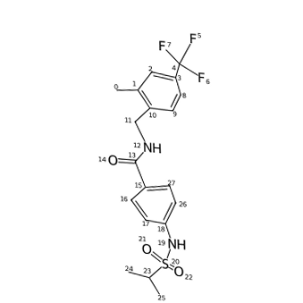 Cc1cc(C(F)(F)F)ccc1CNC(=O)c1ccc(NS(=O)(=O)C(C)C)cc1